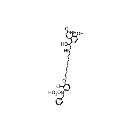 O=C(O)N(Cc1ccccc1)c1cccc(OCCCCCCCCCNCC(O)c2ccc(O)c3[nH]c(=O)ccc23)c1Cl